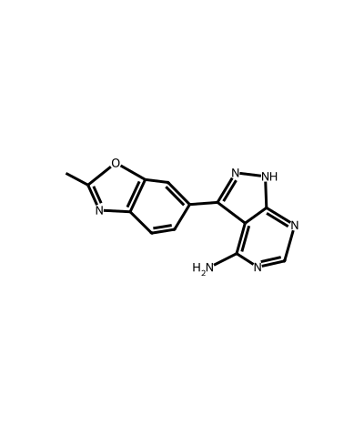 Cc1nc2ccc(-c3n[nH]c4ncnc(N)c34)cc2o1